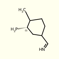 CC1CCC(C=N)C[C@@H]1P